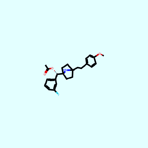 COc1ccc(CCC23CCC([C@@H](OC(C)=O)c4cccc(F)c4)(CC2)N3)cc1